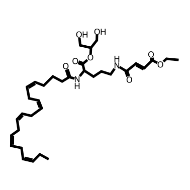 CC/C=C\C/C=C\C/C=C\C/C=C\C/C=C\CCCC(=O)NC(CCCNC(=O)/C=C/C(=O)OCC)C(=O)OC(CO)CO